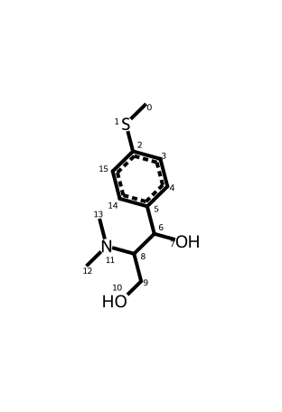 CSc1ccc(C(O)C(CO)N(C)C)cc1